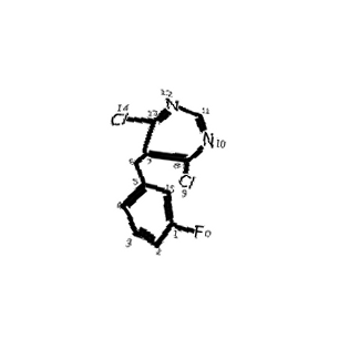 Fc1cccc(Cc2c(Cl)ncnc2Cl)c1